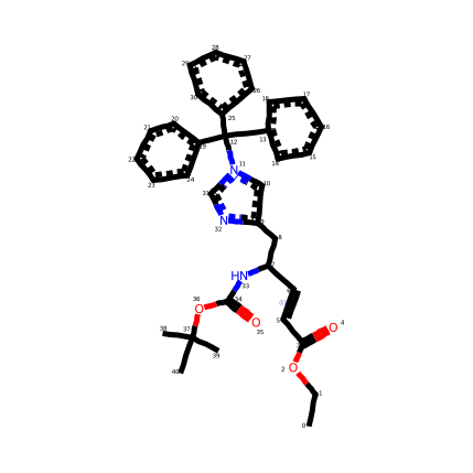 CCOC(=O)/C=C/C(Cc1cn(C(c2ccccc2)(c2ccccc2)c2ccccc2)cn1)NC(=O)OC(C)(C)C